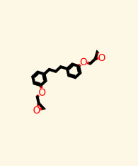 c1cc(CCCc2cccc(OCC3CO3)c2)cc(OCC2CO2)c1